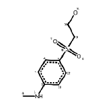 CNc1ccc(S(=O)(=O)CC[O])cc1